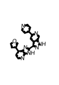 c1cc(-c2cc3c(-c4nc5c(-c6ccoc6)ccnc5[nH]4)n[nH]c3cn2)ccn1